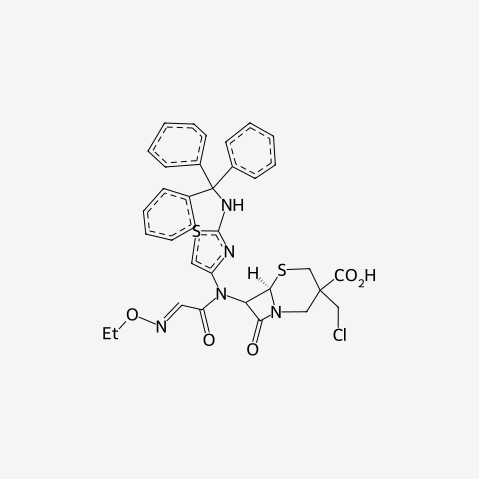 CCON=CC(=O)N(c1csc(NC(c2ccccc2)(c2ccccc2)c2ccccc2)n1)C1C(=O)N2CC(CCl)(C(=O)O)CS[C@H]12